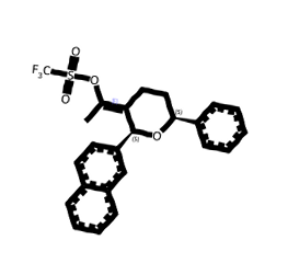 C/C(OS(=O)(=O)C(F)(F)F)=C1/CC[C@@H](c2ccccc2)O[C@H]1c1ccc2ccccc2c1